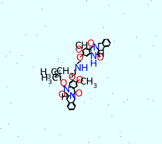 COc1cc2c(cc1OCCNCCOc1cc3c(cc1OC)C(=O)N1Cc4ccccc4C[C@H]1C(=O)N3COCC[Si](C)(C)C)NC(=O)[C@@H]1Cc3ccccc3CN1C2=O